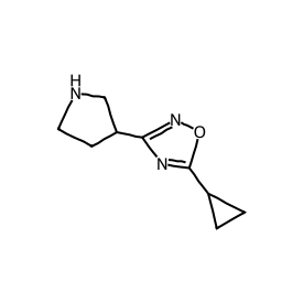 C1CC(c2noc(C3CC3)n2)CN1